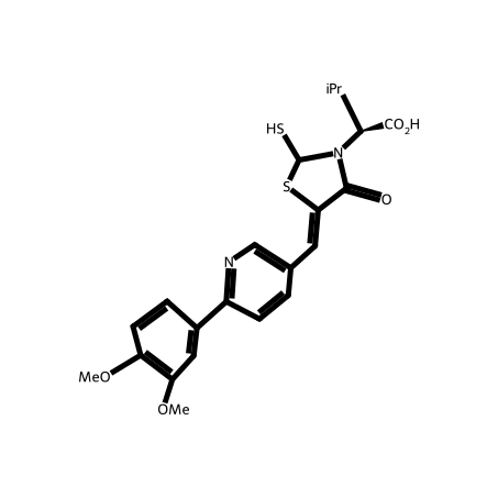 COc1ccc(-c2ccc(/C=C3\SC(S)N([C@H](C(=O)O)C(C)C)C3=O)cn2)cc1OC